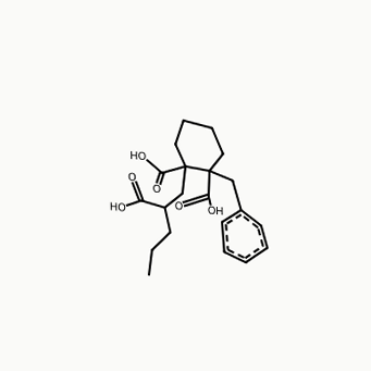 CCCC(CC1(C(=O)O)CCCCC1(Cc1ccccc1)C(=O)O)C(=O)O